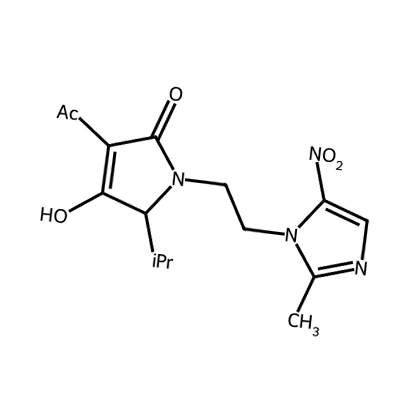 CC(=O)C1=C(O)C(C(C)C)N(CCn2c([N+](=O)[O-])cnc2C)C1=O